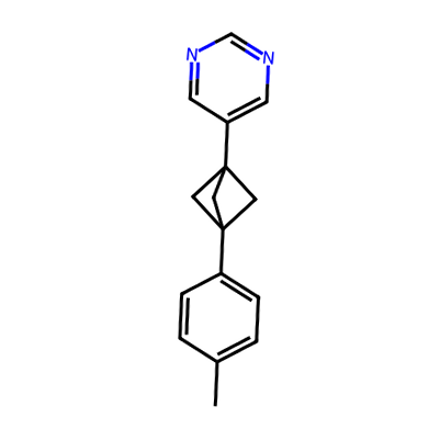 Cc1ccc(C23CC(c4cncnc4)(C2)C3)cc1